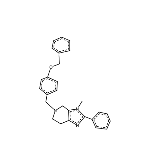 Cn1c(-c2ccccc2)nc2c1CN(Cc1ccc(OCc3ccccc3)cc1)CC2